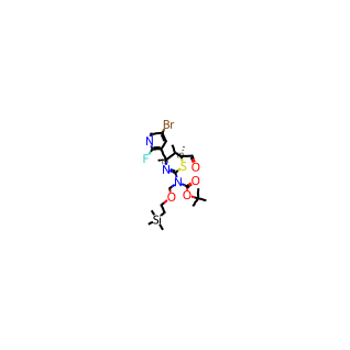 CC1[C@@](C)(C=O)SC(N(COCC[Si](C)(C)C)C(=O)OC(C)(C)C)=N[C@]1(C)c1cc(Br)cnc1F